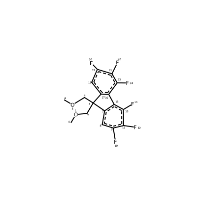 COCC1(COC)c2cc(F)c(F)c(F)c2-c2c1cc(F)c(F)c2F